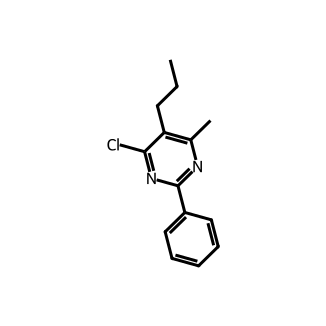 CCCc1c(C)nc(-c2ccccc2)nc1Cl